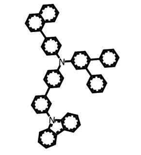 c1ccc(-c2ccc(N(c3ccc(-c4cccc(-n5c6ccccc6c6ccccc65)c4)cc3)c3ccc(-c4cccc5ccccc45)cc3)cc2-c2ccccc2)cc1